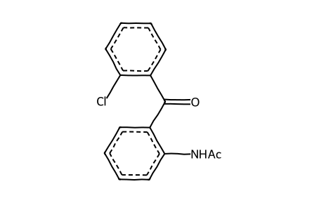 CC(=O)Nc1ccccc1C(=O)c1ccccc1Cl